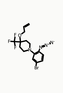 C=CCOC1(C(F)(F)F)CCN(c2cc(Br)ccc2N=[N+]=[N-])CC1